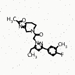 CCc1cc(-c2ccc(F)c(C)c2)nn1CC(=O)N1CCc2oc(C)nc2C1